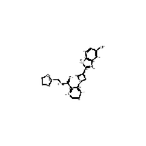 O=C(NC[C@H]1CCCO1)c1nccnc1N1CC(c2nc3cc(Cl)ccc3[nH]2)C1